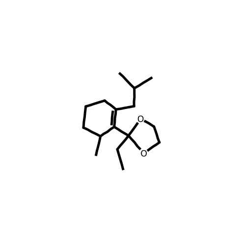 CCC1(C2=C(CC(C)C)CCCC2C)OCCO1